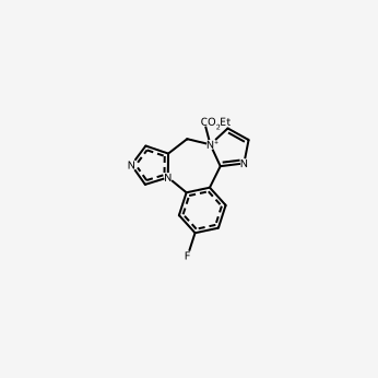 CCOC(=O)[N+]12C=CN=C1c1ccc(F)cc1-n1cncc1C2